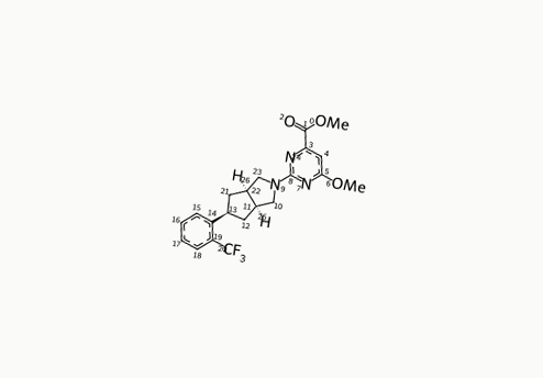 COC(=O)c1cc(OC)nc(N2C[C@H]3C[C@@H](c4ccccc4C(F)(F)F)C[C@H]3C2)n1